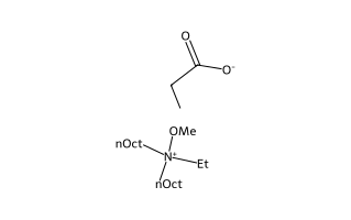 CCC(=O)[O-].CCCCCCCC[N+](CC)(CCCCCCCC)OC